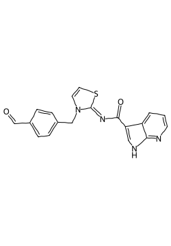 O=Cc1ccc(Cn2ccs/c2=N\C(=O)c2c[nH]c3ncccc23)cc1